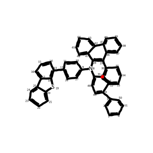 c1ccc(-c2ccc(N(c3ccc(-c4cccc5c4sc4ccccc45)cc3)c3c(-c4ccccc4)c4ccccc4c4ccccc34)cc2)cc1